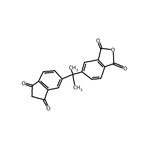 CC(C)(c1ccc2c(c1)C(=O)CC2=O)c1ccc2c(c1)C(=O)OC2=O